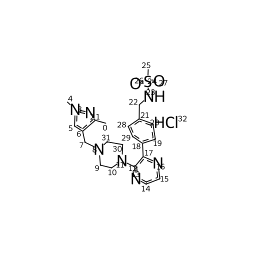 Cc1nn(C)cc1CN1CCN(c2nccnc2-c2ccc(CNS(C)(=O)=O)cc2)CC1.Cl